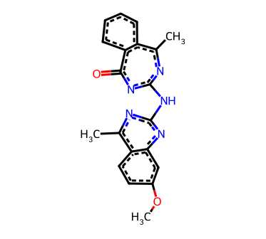 COc1ccc2c(C)nc(Nc3nc(C)c4ccccc4c(=O)n3)nc2c1